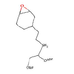 COCC(OC)[SiH2]CCC1CCC2OC2C1